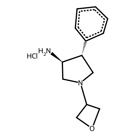 Cl.N[C@@H]1CN(C2COC2)C[C@H]1c1ccccc1